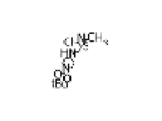 Cc1nc(Cl)c(CNC2CCN(C(=O)OC(C)(C)C)CC2)s1